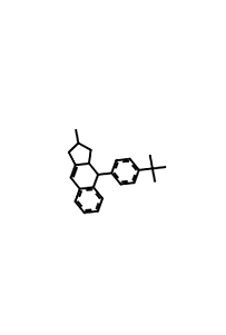 CC1CC2=Cc3ccccc3C(c3ccc(C(C)(C)C)cc3)C2C1